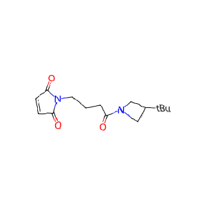 CC(C)(C)C1CN(C(=O)CCCN2C(=O)C=CC2=O)C1